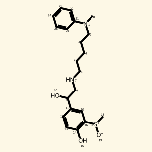 CN(CCCCCNCC(O)c1ccc(O)c([S+](C)[O-])c1)c1ccccc1